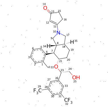 Cc1ccccc1[C@H]1[C@@H]2CN(C3=CC(=O)CC3)C[C@H]2CC[C@@H]1O[C@H](CO)c1cc(C(F)(F)F)cc(C(F)(F)F)c1